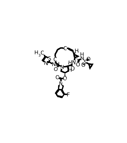 Cc1cnc(N[C@H]2CCCCC/C=C\[C@@H]3C[C@@]3(C(=O)NS(=O)(=O)C3CC3)NC(=O)[C@@H]3C[C@@H](OC(=O)N4Cc5cccc(F)c5C4)CN3C2=O)s1